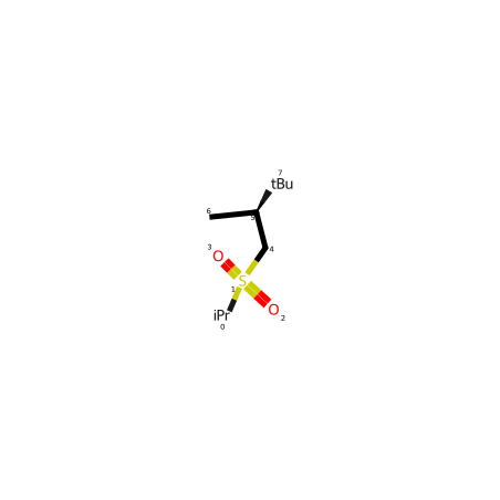 CC(C)S(=O)(=O)C[C@@H](C)C(C)(C)C